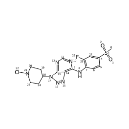 CS(=O)(=O)c1ccc(Nc2ncnc3c2nnn3C2CCN(Cl)CC2)c(F)c1